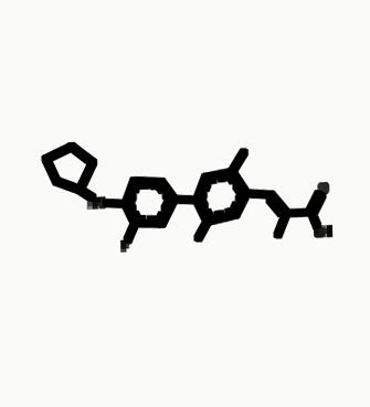 C/C(=C\c1cc(C)c(-c2ccc(NC3CCCC3)c(F)c2)cc1C)C(=O)O